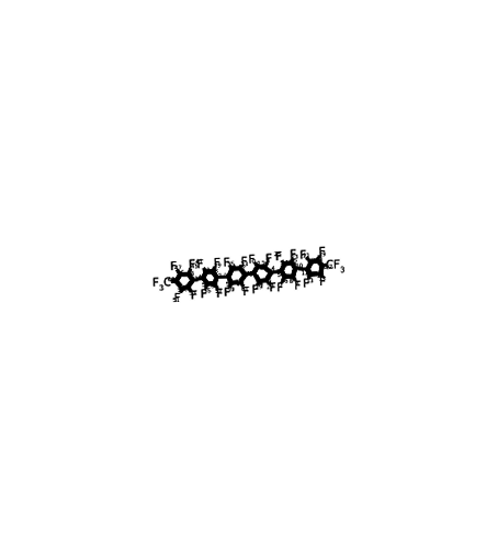 Fc1c(F)c(-c2c(F)c(F)c(-c3c(F)c(F)c(C(F)(F)F)c(F)c3F)c(F)c2F)c(F)c(F)c1-c1c(F)c(F)c(-c2c(F)c(F)c(-c3c(F)c(F)c(C(F)(F)F)c(F)c3F)c(F)c2F)c(F)c1F